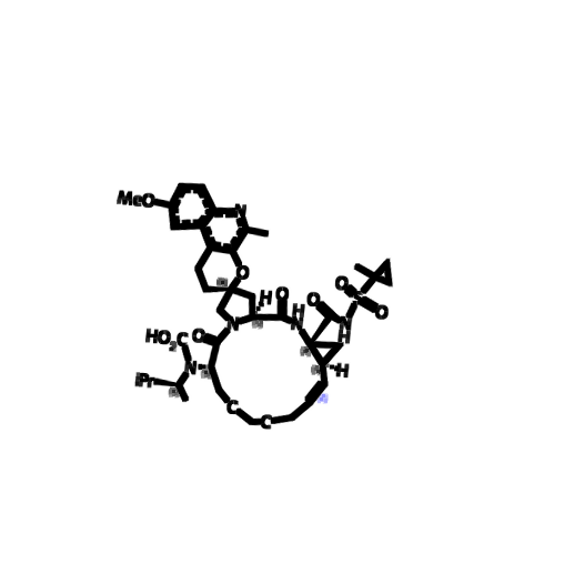 COc1ccc2nc(C)c3c(c2c1)CC[C@]1(C[C@H]2C(=O)N[C@]4(C(=O)NS(=O)(=O)C5(C)CC5)C[C@H]4/C=C\CCCCC[C@H](N(C(=O)O)[C@@H](C)C(C)C)C(=O)N2C1)O3